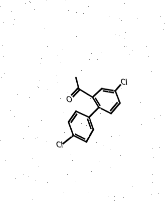 CC(=O)c1cc(Cl)ccc1-c1ccc(Cl)cc1